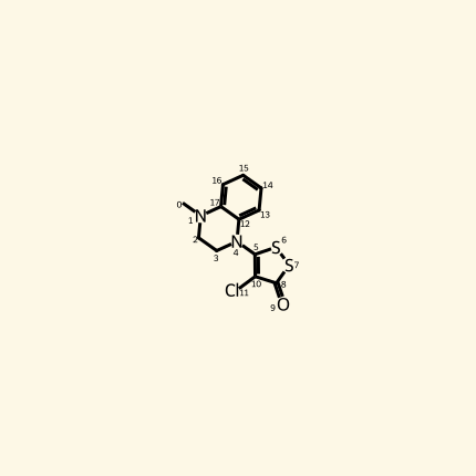 CN1CCN(c2ssc(=O)c2Cl)c2ccccc21